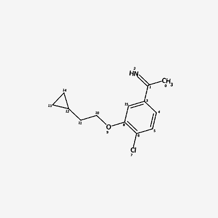 CC(=N)c1ccc(Cl)c(OCCC2CC2)c1